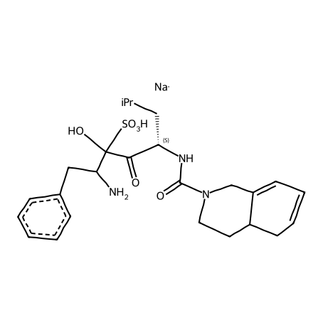 CC(C)C[C@H](NC(=O)N1CCC2CC=CC=C2C1)C(=O)C(O)(C(N)Cc1ccccc1)S(=O)(=O)O.[Na]